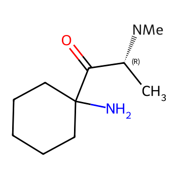 CN[C@H](C)C(=O)C1(N)CCCCC1